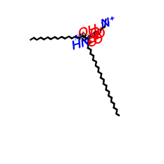 CCCCCCCCCCCCC/C=C/[C@@H](O)[C@H](COP(=O)([O-])OCC[N+](C)(C)C)NC(=O)CCCCCCCCCCCCCCCCCCCCCCCC